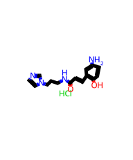 Cl.Nc1ccc(O)c(/C=C/C(=O)NCCCn2ccnc2)c1